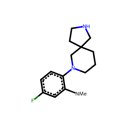 CNc1cc(F)ccc1N1CCCC2(CCNC2)C1